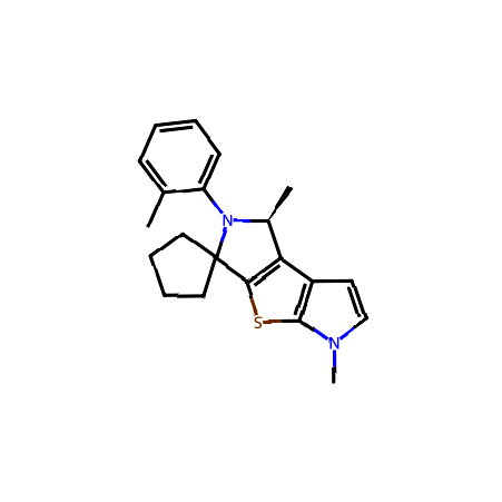 Cc1ccccc1N1[C@@H](C)c2c(sc3c2ccn3C)C12CCCC2